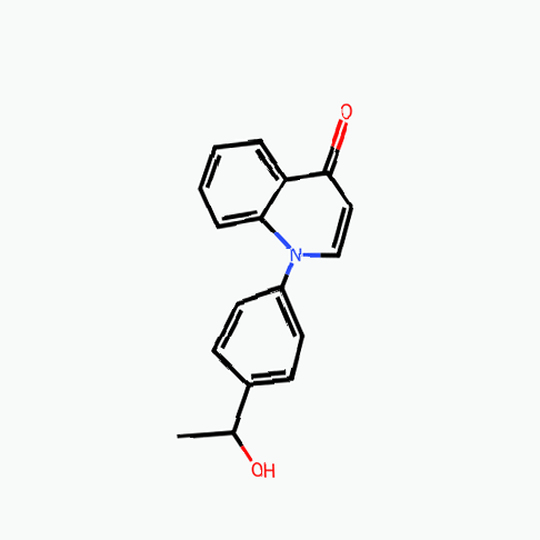 CC(O)c1ccc(-n2ccc(=O)c3ccccc32)cc1